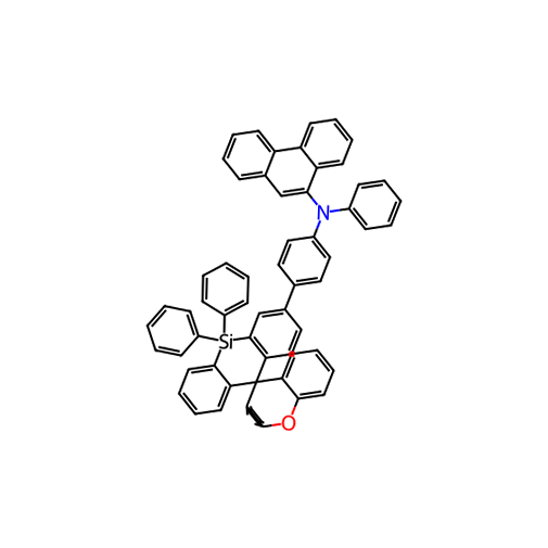 c1ccc(N(c2ccc(-c3ccc4c(c3)[Si](c3ccccc3)(c3ccccc3)c3ccccc3C43c4ccccc4Oc4ccccc43)cc2)c2cc3ccccc3c3ccccc23)cc1